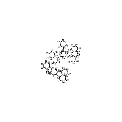 c1ccc(-c2nc(-c3ccc(-c4cccc5oc6cc7c(cc6c45)-c4cccc5cccc-7c45)c4ccccc34)nc(-c3cccc4oc5ccccc5c34)n2)cc1